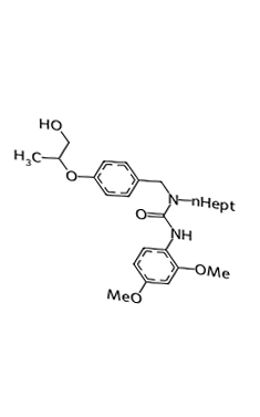 CCCCCCCN(Cc1ccc(OC(C)CO)cc1)C(=O)Nc1ccc(OC)cc1OC